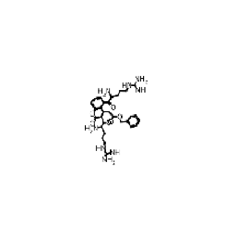 N=C(N)NCCCC(N)C(=O)c1c(CC(=O)OCc2ccccc2)c2c(C(=O)C(N)CCCNC(=N)N)cccc2oc1=O